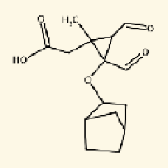 CC1(CC(=O)O)C([C]=O)C1([C]=O)OC1CC2CCC1C2